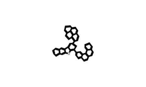 c1ccc2cc3c(cc2c1)oc1c(-c2ccc4ccc5ccc6ccccc6c5c4c2)cc(-c2ccc4ccc5cccc6ccc2c4c56)cc13